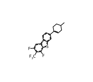 CC1CC=C(c2ccc3c(c2)sc2c(F)c(C(F)(F)F)c(F)cc23)CC1